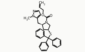 C=CCOC(=O)N1C[C@@H](SC(c2ccccc2)(c2ccccc2)c2ccccc2)C[C@H]1Cc1ccnn1C